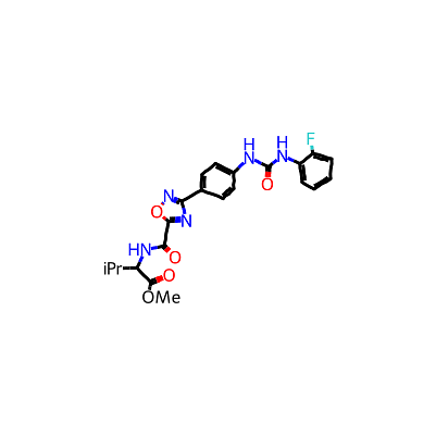 COC(=O)C(NC(=O)c1nc(-c2ccc(NC(=O)Nc3ccccc3F)cc2)no1)C(C)C